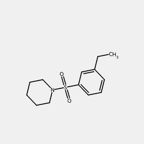 CCc1cccc(S(=O)(=O)N2CCCCC2)c1